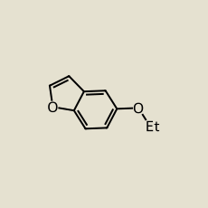 [CH2]COc1ccc2occc2c1